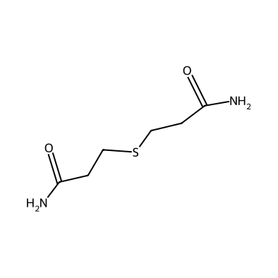 NC(=O)CCSCCC(N)=O